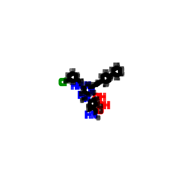 CNC(=O)C12CC1[C@@H](n1cnc3c(NCc4cccc(Cl)c4)nc(C#Cc4ccc(-c5ccccc5)cc4)nc31)[C@H](O)[C@@H]2O